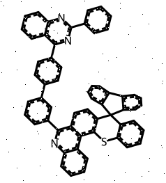 c1ccc(-c2nc(-c3ccc(-c4cccc(-c5nc6ccccc6c6c7c(ccc56)C5(c6ccccc6S7)c6ccccc6-c6ccccc65)c4)cc3)c3ccccc3n2)cc1